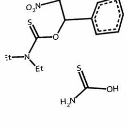 CCN(CC)C(=S)OC(C[N+](=O)[O-])c1ccccc1.NC(O)=S